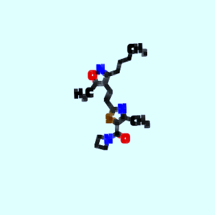 CCCCc1noc(C)c1C=Cc1nc(C)c(C(=O)N2CCC2)s1